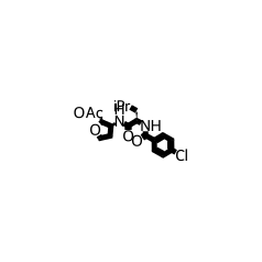 CC(=O)O[C@@H]1OCC[C@@H]1NC(=O)[C@H](CC(C)C)NC(=O)c1ccc(Cl)cc1